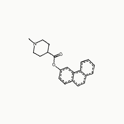 CN1CCC(C(=O)Oc2ccc3ccc4ccccc4c3c2)CC1